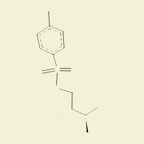 Cc1ccc(S(=O)(=O)OC[C@@H](N)[C@H](C)O)cc1